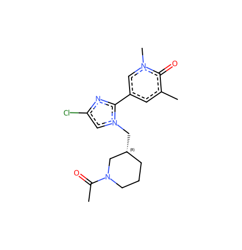 CC(=O)N1CCC[C@@H](Cn2cc(Cl)nc2-c2cc(C)c(=O)n(C)c2)C1